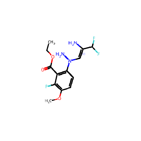 CCOC(=O)c1c(N(N)/C=C(\N)C(F)F)ccc(OC)c1F